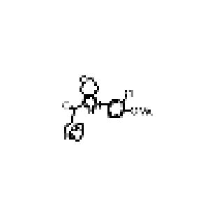 COc1ccc(-n2nc(C(=O)N3CCN4CCC3CC4)c3c2CCOC3)cc1Cl